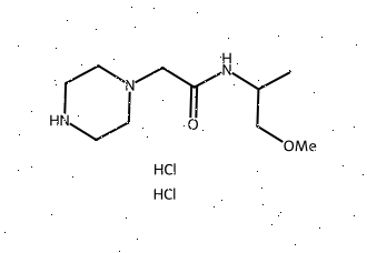 COCC(C)NC(=O)CN1CCNCC1.Cl.Cl